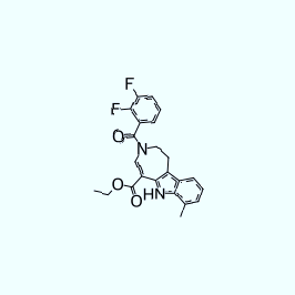 CCOC(=O)C1=CN(C(=O)c2cccc(F)c2F)CCc2c1[nH]c1c(C)cccc21